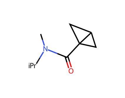 CC(C)N(C)C(=O)C12CC1C2